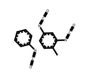 Cc1ccc(N=C=O)cc1N=C=O.O=C=Nc1ccccc1